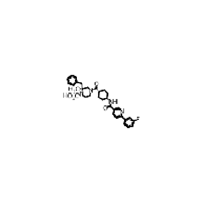 C[C@@]1(Cc2ccccc2)CN(C(=O)[C@H]2CC[C@H](NC(=O)c3ccc(-c4cccc(F)c4)nc3)CC2)CCN1C(=O)O